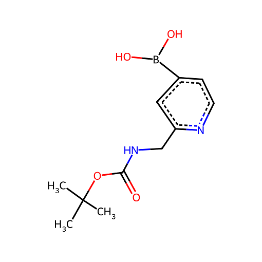 CC(C)(C)OC(=O)NCc1cc(B(O)O)ccn1